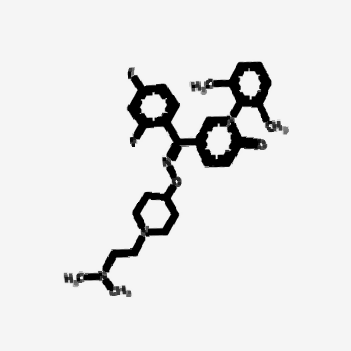 Cc1cccc(C)c1-n1cc(/C(=N\OC2CCN(CCN(C)C)CC2)c2ccc(F)cc2F)ccc1=O